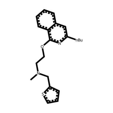 CCCCc1cc2ccccc2c(OCCN(C)Cc2cccs2)n1